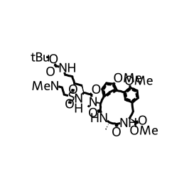 CNCCS(=O)(=O)N[C@@H](CCCCNC(=O)OC(C)(C)C)C(=O)N(C)[C@@H]1C(=O)N[C@@H](C)C(=O)N[C@H](C(=O)OC)Cc2ccc(OC)c(c2)-c2cc1ccc2OC